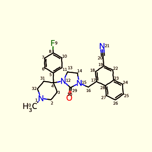 CN1CCC(c2ccc(F)cc2)(N2CCN(Cc3cc(C#N)cc4ccccc34)C2=O)CC1